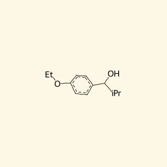 CCOc1ccc(C(O)C(C)C)cc1